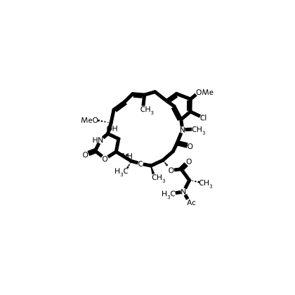 COc1cc2cc(c1Cl)N(C)C(=O)C[C@H](OC(=O)[C@H](C)N(C)C(C)=O)[C@@H](C)C[C@H](C)[C@@H]1C[C@@](O)(NC(=O)O1)[C@H](OC)/C=C/C=C(\C)C2